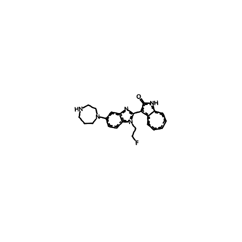 O=c1[nH]c2cccccc-2c1-c1nc2cc(N3CCCNCC3)ccc2n1CCF